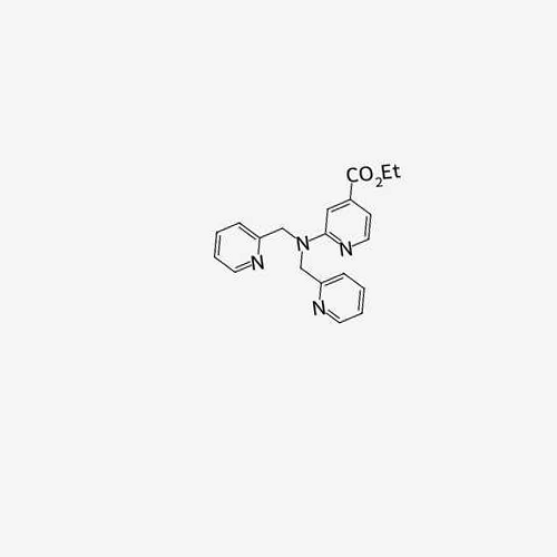 CCOC(=O)c1ccnc(N(Cc2ccccn2)Cc2ccccn2)c1